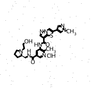 Cc1ncc(C(=O)NC[C@H]2CCCN2CCO)cc1NC(=O)c1cnn2cc(-c3cnn(C)c3)sc12.Cl